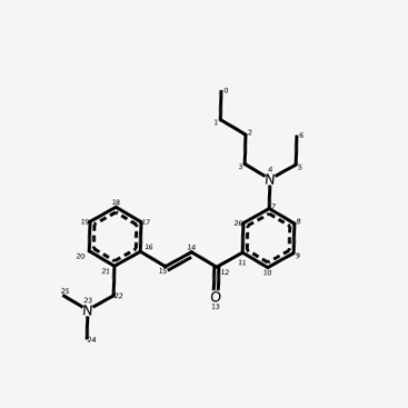 CCCCN(CC)c1cccc(C(=O)/C=C/c2ccccc2CN(C)C)c1